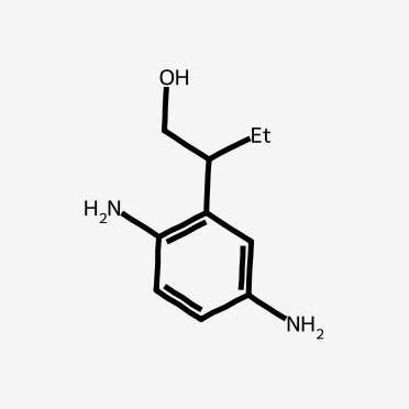 CCC(CO)c1cc(N)ccc1N